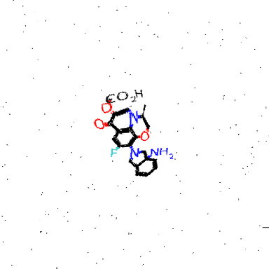 C[C@H]1COc2c(N3CC4C=CC=CC4(N)C3)c(F)cc3c(=O)c(OC(=O)O)cn1c23